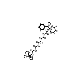 O=C(c1ccccc1)C1(OCCCCCCCCCCC[Si](Cl)(Cl)Cl)CCCCC1